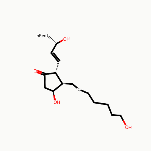 CCCCC[C@H](O)/C=C/[C@H]1C(=O)C[C@H](O)[C@@H]1CCCCCCCO